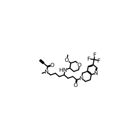 C#CC(=O)N(C)CCCC(CCC(=O)N1CCc2ncc(C(F)(F)F)cc2C1)NC1CCOCC1OC